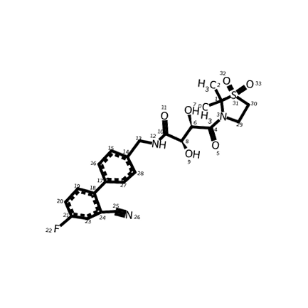 CC1(C)N(C(=O)[C@H](O)[C@@H](O)C(=O)NCc2ccc(-c3ccc(F)cc3C#N)cc2)CCS1(=O)=O